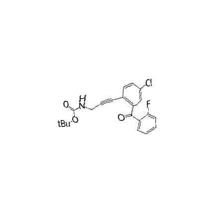 CC(C)(C)OC(=O)NCC#Cc1ccc(Cl)cc1C(=O)c1ccccc1F